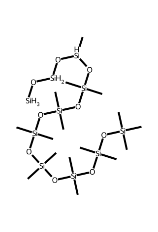 C[SiH](O[SiH2]O[SiH3])O[Si](C)(C)O[Si](C)(C)O[Si](C)(C)O[Si](C)(C)O[Si](C)(C)O[Si](C)(C)O[Si](C)(C)C